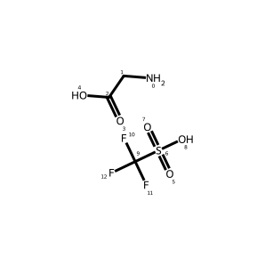 NCC(=O)O.O=S(=O)(O)C(F)(F)F